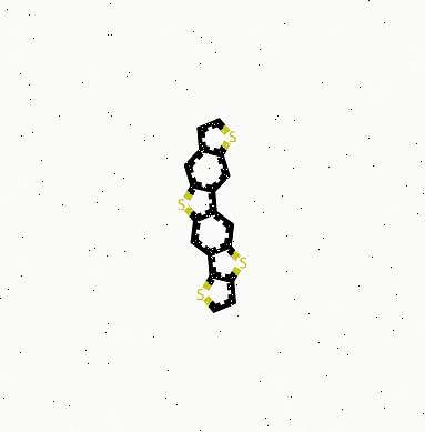 c1cc2cc3sc4cc5c(cc4c3cc2s1)sc1ccsc15